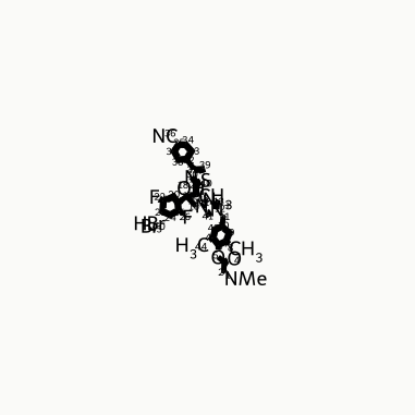 Br.CNCC(=O)Oc1c(C)cc(C[n+]2cnn(C[C@](O)(c3cc(F)ccc3F)[C@@H](C)c3nc(-c4ccc(C#N)cc4)cs3)c2)cc1C.[Br-]